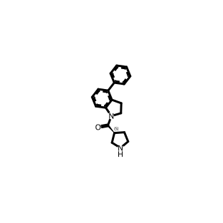 O=C([C@H]1CCNC1)N1CCc2c(-c3ccccc3)cccc21